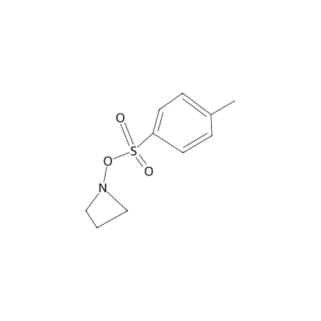 Cc1ccc(S(=O)(=O)ON2CCC2)cc1